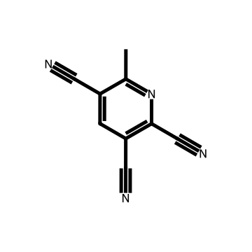 Cc1nc(C#N)c(C#N)cc1C#N